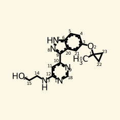 CC1(Oc2ccc3[nH]nc(-c4cc(NCCO)ncn4)c3c2)CC1